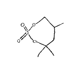 CC1COS(=O)(=O)OC(C)(C)C1